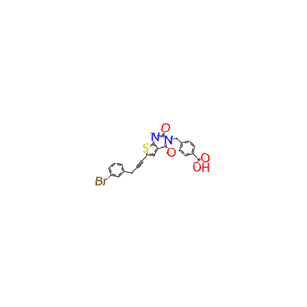 Cn1c(=O)n(Cc2ccc(C(=O)O)cc2)c(=O)c2cc(C#CCc3cccc(Br)c3)sc21